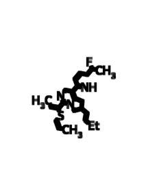 C/C=C\S/C(=C/C)C1=NCC(C(=N)/C=C\CC(C)F)=C2CC(/C=C/CC)CN12